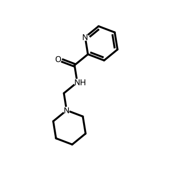 O=C(NCN1CCCCC1)c1ccccn1